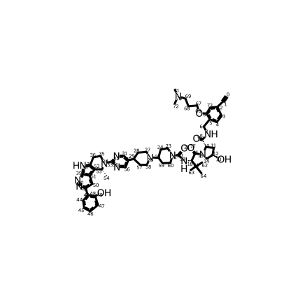 C#Cc1ccc(CNC(=O)[C@@H]2C[C@@H](O)CN2C(=O)[C@@H](NC(=O)N2CCC(N3CCC(c4cnc(N5CCc6[nH]c7nnc(-c8ccccc8O)cc7c6[C@H]5C)nc4)CC3)CC2)C(C)(C)C)c(OCCCN(C)C)c1